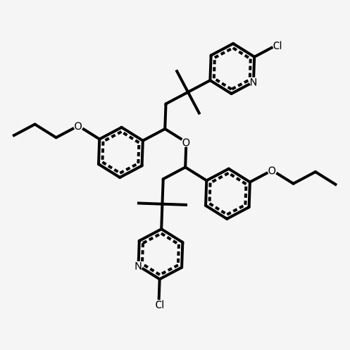 CCCOc1cccc(C(CC(C)(C)c2ccc(Cl)nc2)OC(CC(C)(C)c2ccc(Cl)nc2)c2cccc(OCCC)c2)c1